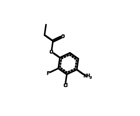 CCC(=O)Oc1ccc(N)c(Cl)c1F